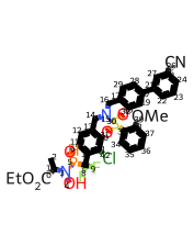 CCOC(=O)C(C)N(O)[PH](=O)C(F)(F)c1ccc(CN(Cc2ccc(-c3cccc(C#N)c3)cc2)S(=O)(=O)c2ccccc2OC)cc1Cl